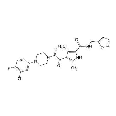 Cc1[nH]c(C(=O)NCc2ccco2)c(C)c1C(=O)C(=O)N1CCN(c2ccc(F)c(Cl)c2)CC1